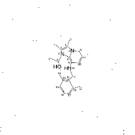 CC1=C(C)N(C(C)O)C2=C(NCc3c(C)cccc3C)C=CCN12